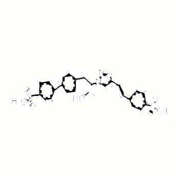 CS(=O)(=O)c1ccc(/C=C/c2cn([C@H](CO)Cc3ccc(-c4ccc(S(C)(=O)=O)cc4)cc3)nn2)cc1